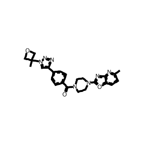 Cc1ccc2oc(N3CCN(C(=O)c4ccc(-c5cn(C6(C)COC6)nn5)cc4)CC3)nc2n1